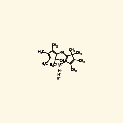 CC1=C(C)C(C)(C)[C]([Ta][C]2=C(C)C(C)=C(C)C2(C)C)=C1C.[H-].[H-].[H-]